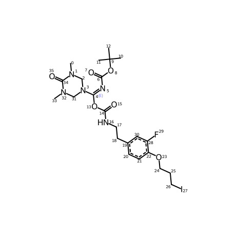 CN1CN(/C(=N\C(=O)OC(C)(C)C)OC(=O)NCCc2ccc(OCCCI)c(F)c2)CN(C)C1=O